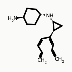 C=C/C=C\C(=C/C=C)[C@@H]1C[C@H]1N[C@H]1CC[C@H](N)CC1